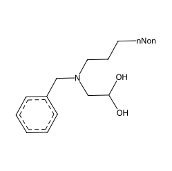 CCCCCCCCCCCCN(Cc1ccccc1)CC(O)O